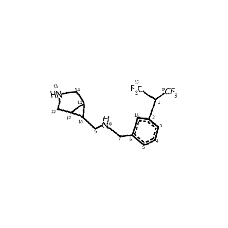 FC(F)(F)C(c1cccc(CNCC2C3CNCC23)c1)C(F)(F)F